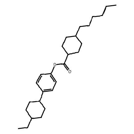 CCCCCCC1CCC(C(=O)Oc2ccc(C3CCC(CC)CC3)cc2)CC1